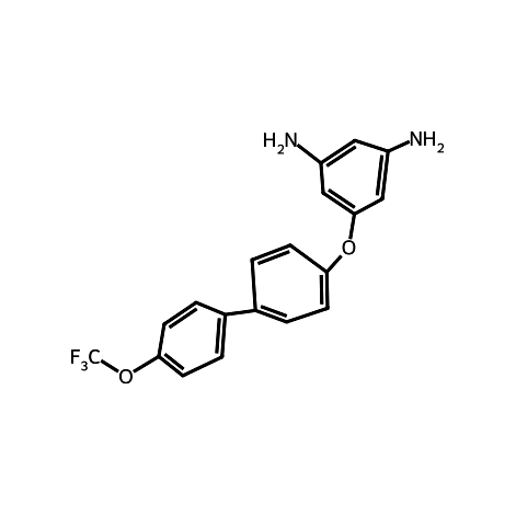 Nc1cc(N)cc(Oc2ccc(-c3ccc(OC(F)(F)F)cc3)cc2)c1